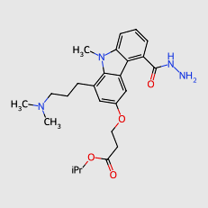 CC(C)OC(=O)CCOc1cc(CCCN(C)C)c2c(c1)c1c(C(=O)NN)cccc1n2C